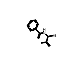 C=C(NC(CC)C(=C)C)c1ccccc1